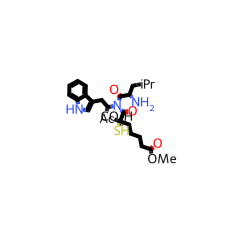 COC(=O)CCCCC(S)(C(C)=O)C(=O)N(C(=O)C(N)CC(C)C)C(Cc1c[nH]c2ccccc12)C(=O)O